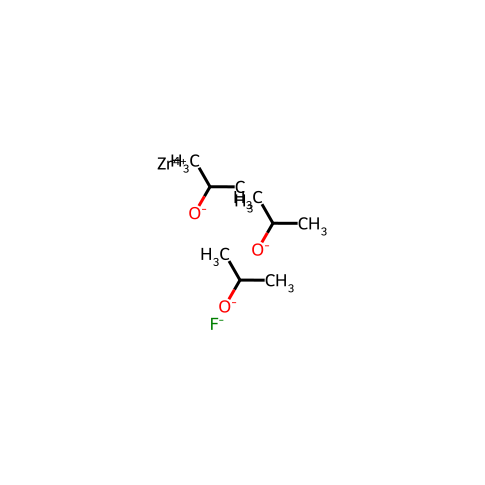 CC(C)[O-].CC(C)[O-].CC(C)[O-].[F-].[Zr+4]